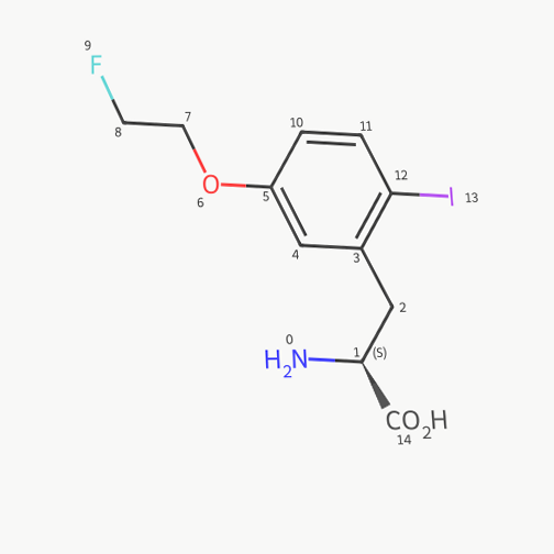 N[C@@H](Cc1cc(OCCF)ccc1I)C(=O)O